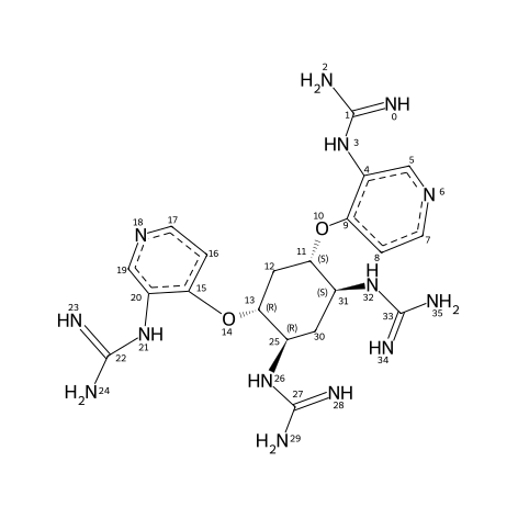 N=C(N)Nc1cnccc1O[C@H]1C[C@@H](Oc2ccncc2NC(=N)N)[C@H](NC(=N)N)C[C@@H]1NC(=N)N